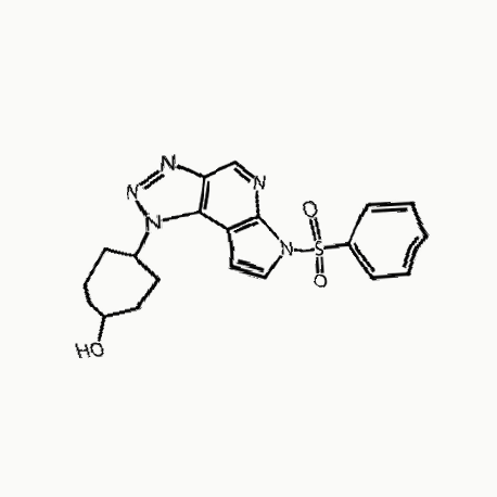 O=S(=O)(c1ccccc1)n1ccc2c1ncc1nnn(C3CCC(O)CC3)c12